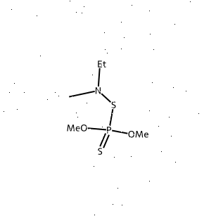 CCN(C)SP(=S)(OC)OC